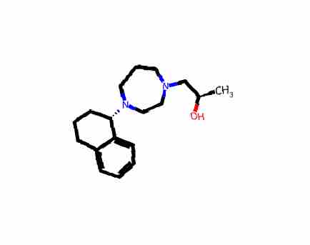 C[C@@H](O)CN1CCCN([C@H]2CCCc3ccccc32)CC1